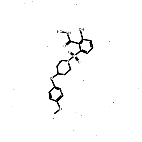 COc1ccc(OC2CCN(S(=O)(=O)c3cccc(O)c3C(=O)NO)CC2)cc1